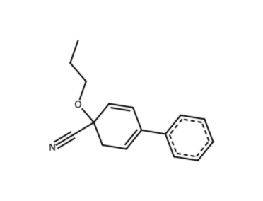 CCCOC1(C#N)C=CC(c2ccccc2)=CC1